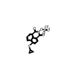 O=C1c2cccc3c(SC4CC4)ccc(c23)C(=O)N1OS(=O)(=O)C(F)(F)F